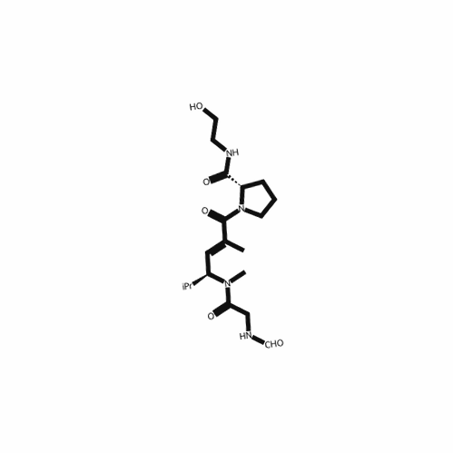 C/C(=C\[C@H](C(C)C)N(C)C(=O)CNC=O)C(=O)N1CCC[C@H]1C(=O)NCCO